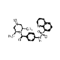 CCN1CC(C)N(C(=O)c2ccc(NS(=O)(=O)c3cccc4cccnc34)cc2)C(C)C1